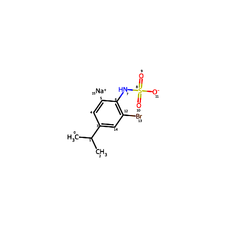 CC(C)c1ccc(NS(=O)(=O)[O-])c(Br)c1.[Na+]